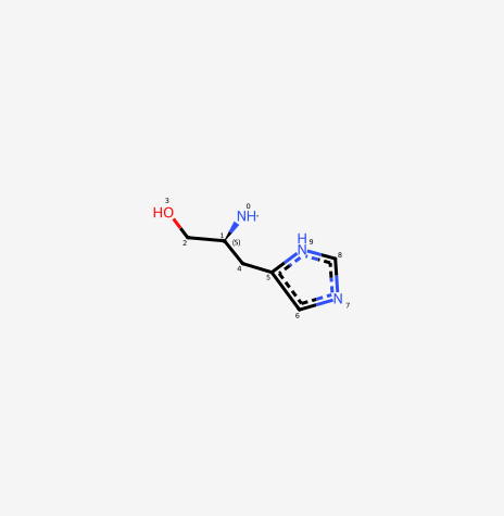 [NH][C@H](CO)Cc1cnc[nH]1